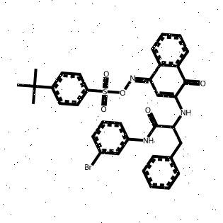 CC(C)(C)c1ccc(S(=O)(=O)ON=C2C=C(NC(Cc3ccccc3)C(=O)Nc3cccc(Br)c3)C(=O)c3ccccc32)cc1